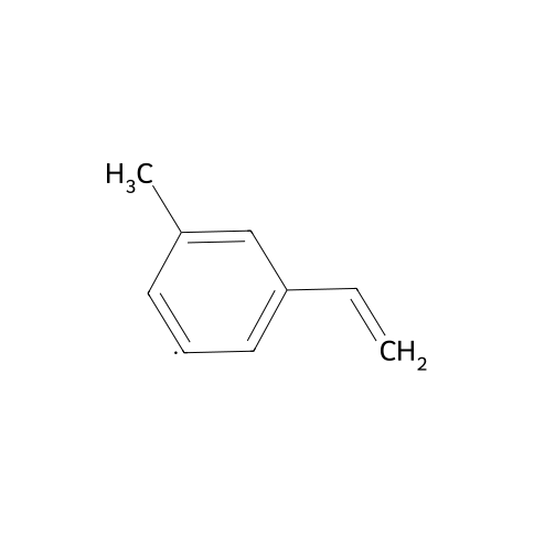 C=Cc1c[c]cc(C)c1